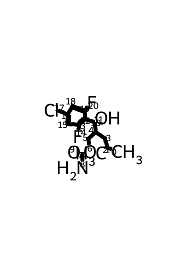 CC(C)CC(COC(N)=O)C(O)c1c(F)cc(Cl)cc1F